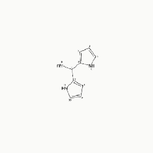 CCCC(c1ccc[nH]1)c1ccc[nH]1